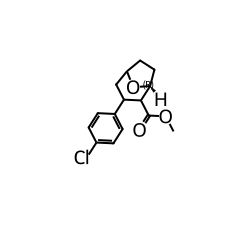 COC(=O)C1C(c2ccc(Cl)cc2)CC2CC[C@H]1O2